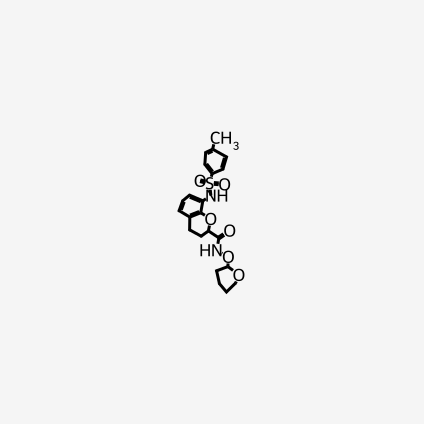 Cc1ccc(S(=O)(=O)Nc2cccc3c2OC(C(=O)NOC2CCCCO2)CC3)cc1